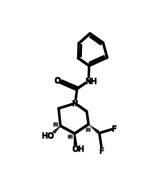 O=C(Nc1ccccc1)N1C[C@@H](O)[C@H](O)[C@@H](C(F)F)C1